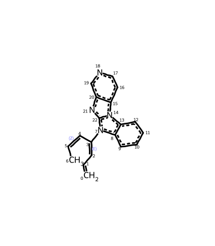 C=C/C=C(\C=C/C)n1c2ccccc2n2c3ccncc3nc12